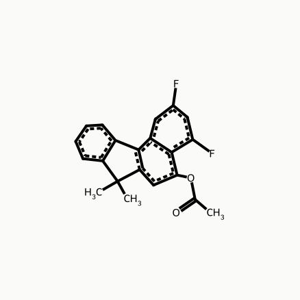 CC(=O)Oc1cc2c(c3cc(F)cc(F)c13)-c1ccccc1C2(C)C